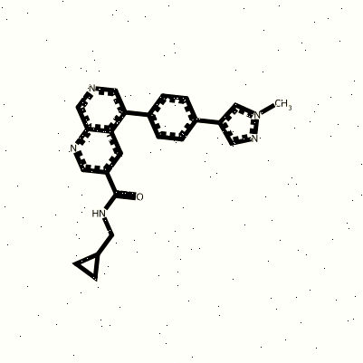 Cn1cc(-c2ccc(-c3cncc4ncc(C(=O)NCC5CC5)cc34)cc2)cn1